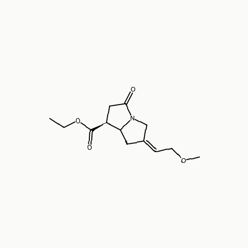 CCOC(=O)[C@H]1CC(=O)N2C/C(=C\COC)CC12